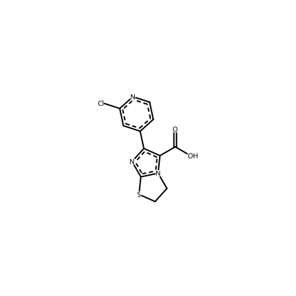 O=C(O)c1c(-c2ccnc(Cl)c2)nc2n1CCS2